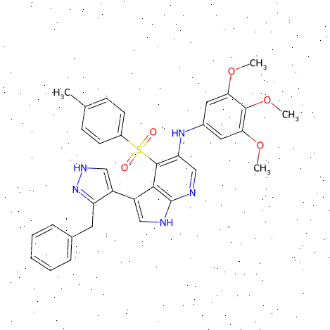 COc1cc(Nc2cnc3[nH]cc(-c4c[nH]nc4Cc4ccccc4)c3c2S(=O)(=O)c2ccc(C)cc2)cc(OC)c1OC